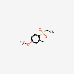 Cc1cc(OC(F)(F)F)ccc1S(=O)(=O)CC#N